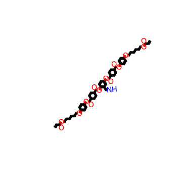 C=CC(=O)OCCCCCCOc1ccc(OC(=O)C2CCC(C(=O)Oc3ccc(OC(=O)C4CCC(C(=O)Oc5ccc(OCCCCCCOC(=O)C=C)cc5)CC4)c(C=N)c3)CC2)cc1